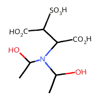 CC(O)N(C(C)O)C(C(=O)O)C(C(=O)O)S(=O)(=O)O